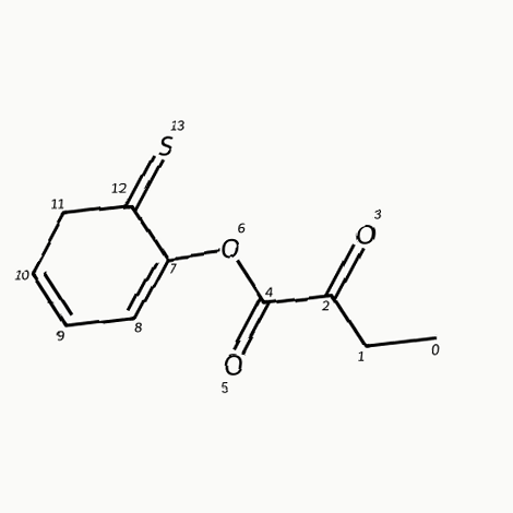 CCC(=O)C(=O)OC1=CC=CCC1=S